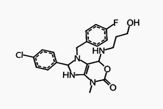 CN1C(=O)OC(NCCCO)C2=C1NC(c1ccc(Cl)cc1)N2Cc1ccc(F)cc1